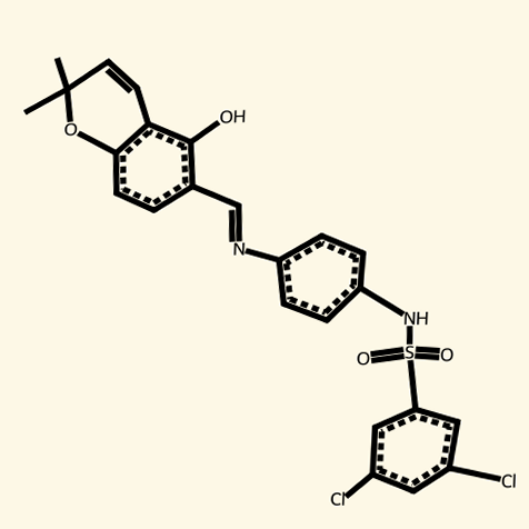 CC1(C)C=Cc2c(ccc(/C=N/c3ccc(NS(=O)(=O)c4cc(Cl)cc(Cl)c4)cc3)c2O)O1